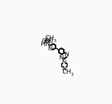 CN1CCN(c2cnc3ccc(-c4ccc(NS(C)(=O)=O)nc4)cc3n2)CC1